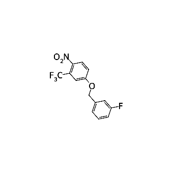 O=[N+]([O-])c1ccc(OCc2cccc(F)c2)cc1C(F)(F)F